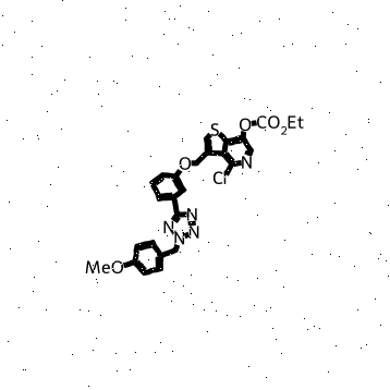 CCOC(=O)Oc1cnc(Cl)c2c(COc3cccc(-c4nnn(Cc5ccc(OC)cc5)n4)c3)csc12